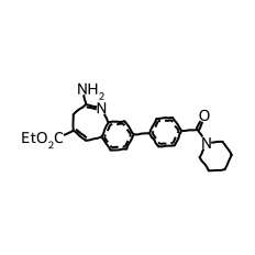 CCOC(=O)C1=Cc2ccc(-c3ccc(C(=O)N4CCCCC4)cc3)cc2N=C(N)C1